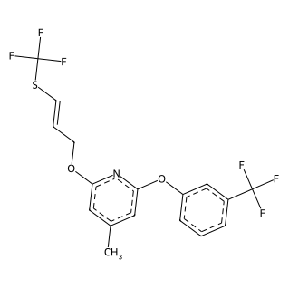 Cc1cc(OC/C=C/SC(F)(F)F)nc(Oc2cccc(C(F)(F)F)c2)c1